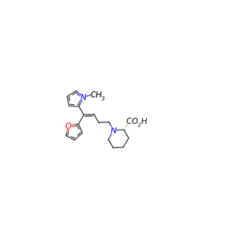 Cn1cccc1C(=CCCN1CCCC[C@H]1C(=O)O)c1ccco1